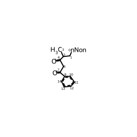 CCCCCCCCCCC(C)C(=O)CC(=O)c1ccccc1